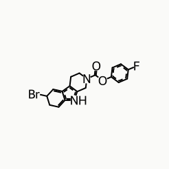 O=C(Oc1ccc(F)cc1)N1CCc2c([nH]c3c2=CC(Br)CC=3)C1